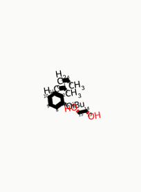 C=CC.C=CC.CC(C)COc1ccccc1.OCCO